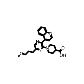 COCCCc1cnc(-c2ccnc3ccccc23)c(N2CCC(C(=O)O)CC2)n1